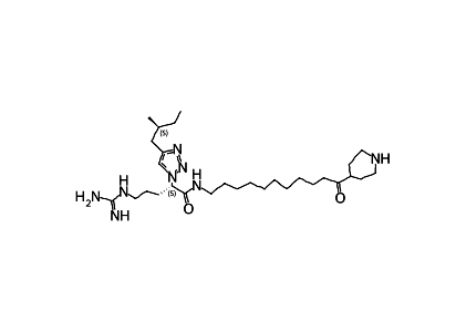 CC[C@H](C)Cc1cn([C@@H](CCCNC(=N)N)C(=O)NCCCCCCCCCCC(=O)C2CCNCC2)nn1